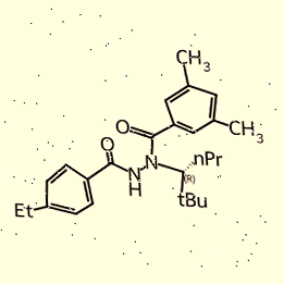 CCC[C@@H](N(NC(=O)c1ccc(CC)cc1)C(=O)c1cc(C)cc(C)c1)C(C)(C)C